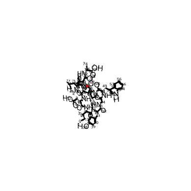 CC[C@H](C)[C@H](NC(=O)[C@H](CC(=O)O)NC(=O)[C@@H]1CCCN1C(=O)[C@@H](N)CC(C)C)C(=O)N[C@@H](Cc1ccc(O)cc1)C(=O)NCC(=O)N[C@@H](Cc1c[nH]c2ccccc12)C(=O)N1CCC[C@H]1C(=O)N[C@H](C(=O)N[C@@H](C)C(=O)O)C(C)C